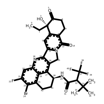 CC[C@@]1(O)C(=O)CCc2c1cc1n(c2=O)Cc2c-1nc1cc(F)c(Br)c3c1c2[C@@H](NC(=O)C(C(C)(C)C)C(F)(F)F)CC3